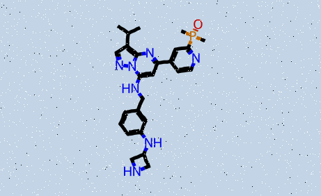 CC(C)c1cnn2c(NCc3cccc(NC4CNC4)c3)cc(-c3ccnc(P(C)(C)=O)c3)nc12